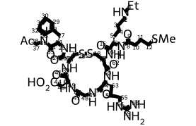 CCNCCCC[C@H](NC(=O)CCCSC)C(=O)N[C@H]1CSSC[C@@H](C(=O)N[C@@H](Cc2ccccc2)C(=O)NCC(C)=O)NC(=O)[C@H](CC(=O)O)NC(=O)CNC(=O)[C@H](CCCNC(=N)N)NC1=O